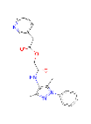 Cc1nn(-c2ccccc2)c(C)c1NC(=O)COC(=O)Cc1cccnc1